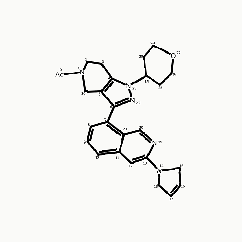 CC(=O)N1CCc2c(c(-c3cccc4cc(N5CC=CC5)ncc34)nn2C2CCOCC2)C1